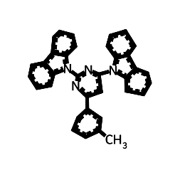 Cc1cccc(-c2cc(-n3c4ccccc4c4ccccc43)nc(-n3c4ccccc4c4ccccc43)n2)c1